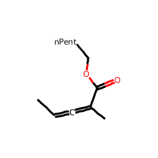 CC=C=C(C)C(=O)OCCCCCC